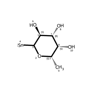 C[C@@H]1O[CH]([Sn])[C@@H](O)[C@H](O)[C@@H]1O